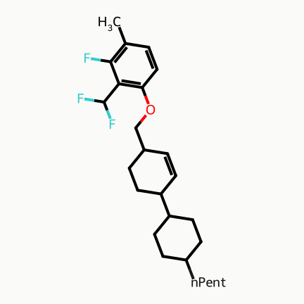 CCCCCC1CCC(C2C=CC(COc3ccc(C)c(F)c3C(F)F)CC2)CC1